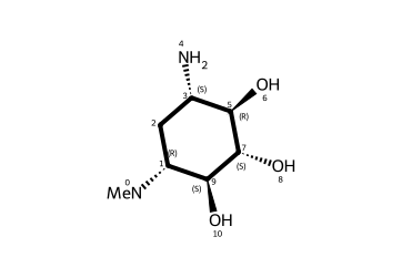 CN[C@@H]1C[C@H](N)[C@@H](O)[C@H](O)[C@H]1O